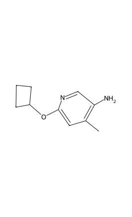 Cc1cc(OC2CCC2)ncc1N